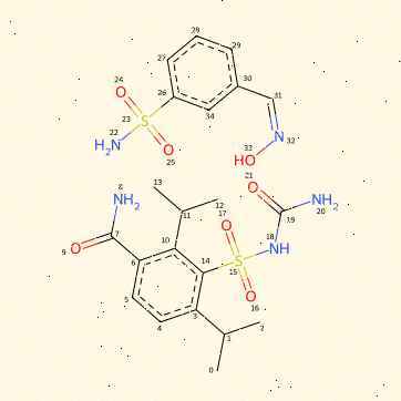 CC(C)c1ccc(C(N)=O)c(C(C)C)c1S(=O)(=O)NC(N)=O.NS(=O)(=O)c1cccc(/C=N\O)c1